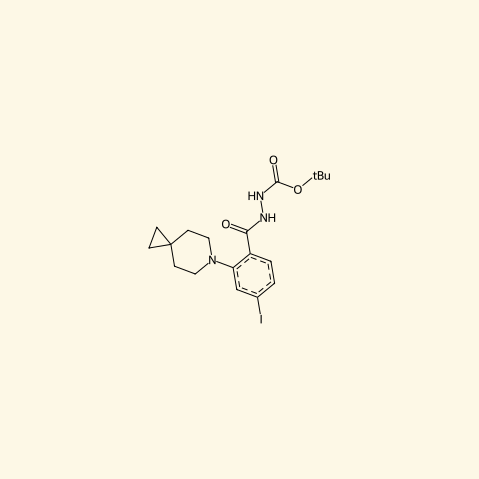 CC(C)(C)OC(=O)NNC(=O)c1ccc(I)cc1N1CCC2(CC1)CC2